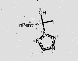 CCCCC[C@@](C)(O)n1ncnn1